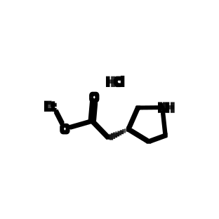 CCOC(=O)C[C@H]1CCNC1.Cl